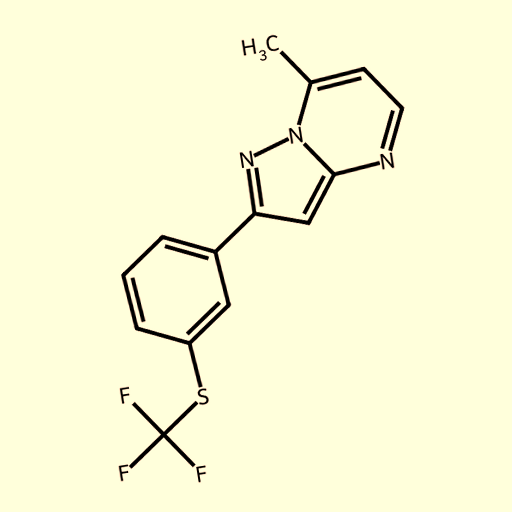 Cc1ccnc2cc(-c3cccc(SC(F)(F)F)c3)nn12